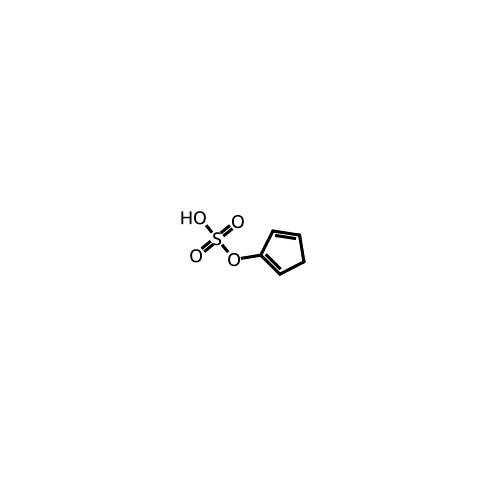 O=S(=O)(O)OC1=CCC=C1